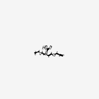 C#CCOCCN(CCOCC#C)C(=O)O